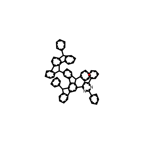 c1ccc(-c2cc(-c3cc4c(c5c3C(c3ccccc3)c3ccc(C6c7ccccc7-c7ccc8c(c76)-c6ccccc6C8c6ccccc6)cc3-5)C(c3ccccc3)c3ccccc3-4)nc(-c3ccccc3)n2)cc1